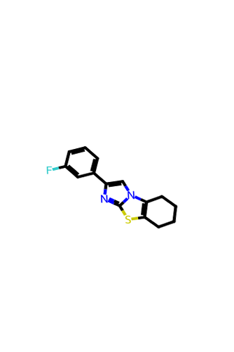 Fc1cccc(-c2cn3c4c(sc3n2)CCCC4)c1